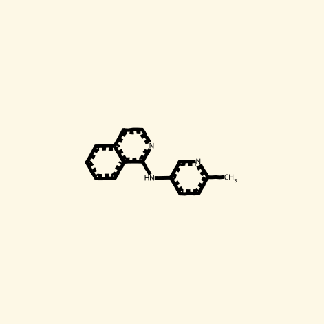 Cc1ccc(Nc2nccc3ccccc23)cn1